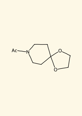 CC(=O)N1CCC2(CC1)OCCO2